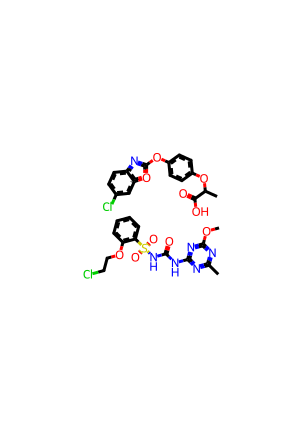 CC(Oc1ccc(Oc2nc3ccc(Cl)cc3o2)cc1)C(=O)O.COc1nc(C)nc(NC(=O)NS(=O)(=O)c2ccccc2OCCCl)n1